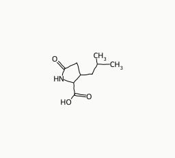 CC(C)CC1CC(=O)NC1C(=O)O